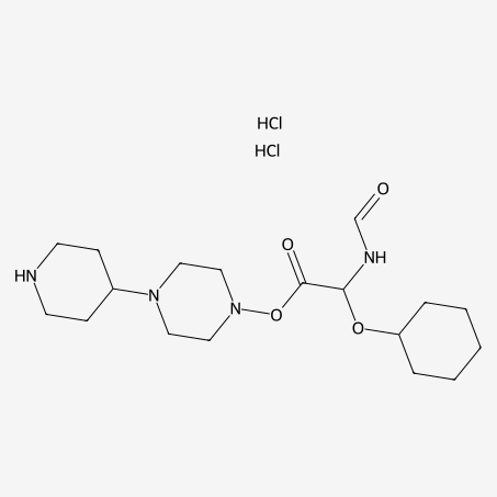 Cl.Cl.O=CNC(OC1CCCCC1)C(=O)ON1CCN(C2CCNCC2)CC1